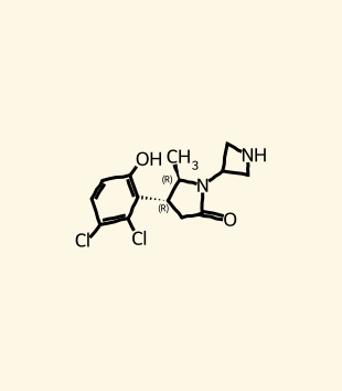 C[C@@H]1[C@@H](c2c(O)ccc(Cl)c2Cl)CC(=O)N1C1CNC1